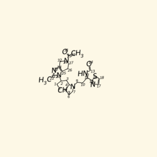 CCC(CC1CCCN1CCC(NC=O)c1nccs1)n1c(C)nc2c1CCN(C(C)=O)C2